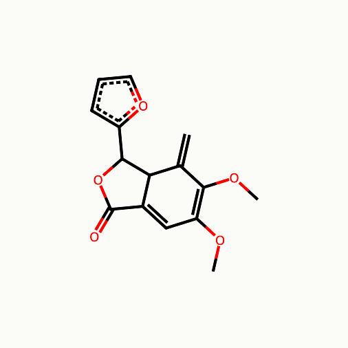 C=C1C(OC)=C(OC)C=C2C(=O)OC(c3ccco3)C12